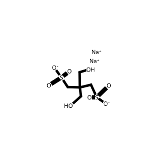 O=S(=O)([O-])CC(CO)(CO)CS(=O)(=O)[O-].[Na+].[Na+]